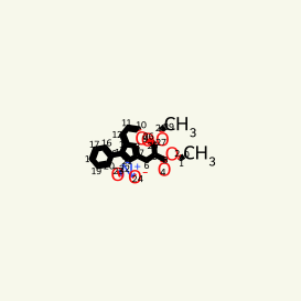 CCOC(=O)C(Cc1c2occcc-2c(-c2ccccc2)c1[N+](=O)[O-])C(=O)OCC